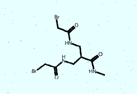 CNC(=O)C(CNC(=O)CBr)CNC(=O)CBr